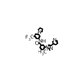 Cc1ccc(C(=O)Nc2cc(N3CCCC3)cc(C(F)(F)F)c2)cc1-n1cc(-c2cccnc2)nn1